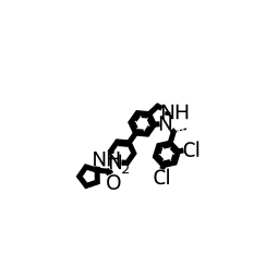 C[C@H](c1ccc(Cl)cc1Cl)N1NCc2ccc(C3=CCN(C(=O)C4(N)CCCC4)CC3)cc21